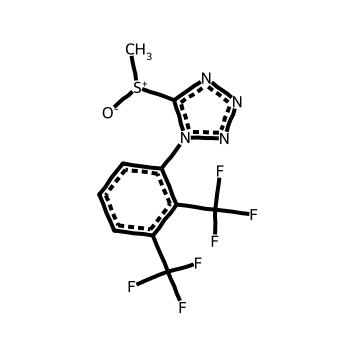 C[S+]([O-])c1nnnn1-c1cccc(C(F)(F)F)c1C(F)(F)F